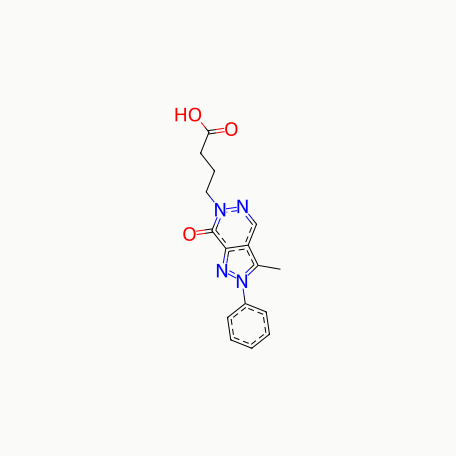 Cc1c2cnn(CCCC(=O)O)c(=O)c2nn1-c1ccccc1